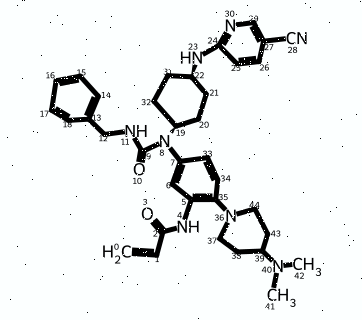 C=CC(=O)Nc1cc(N(C(=O)NCc2ccccc2)[C@H]2CC[C@H](Nc3ccc(C#N)cn3)CC2)ccc1N1CCC(N(C)C)CC1